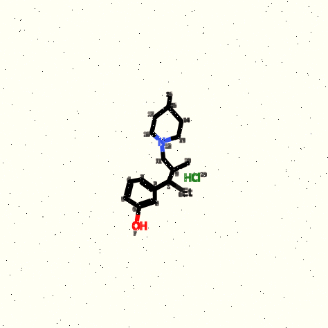 CCC(c1cccc(O)c1)C(C)CN1CCC(C)CC1.Cl